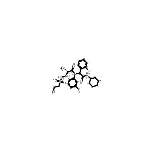 C[C@@H](NNS(=O)(=O)CCCl)C(=O)N(c1cccc(F)c1)C(C(=O)NC1CCCCC1)c1ccccc1Cl